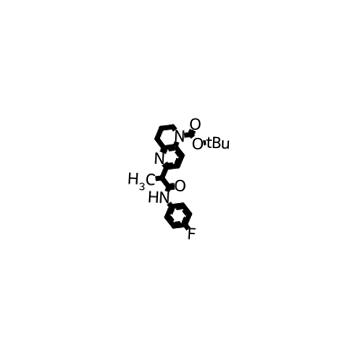 CC(C(=O)Nc1ccc(F)cc1)c1ccc2c(n1)CCCN2C(=O)OC(C)(C)C